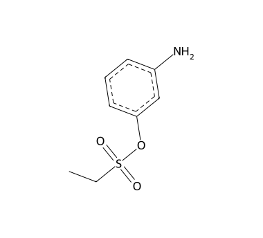 CCS(=O)(=O)Oc1cccc(N)c1